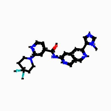 Cn1cncc1-c1cc2cc(NC(=O)c3ccnc(N4CCC(F)(F)CC4)c3)ncc2cn1